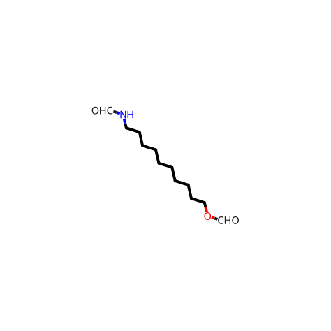 O=CNCCCCCCCCCCOC=O